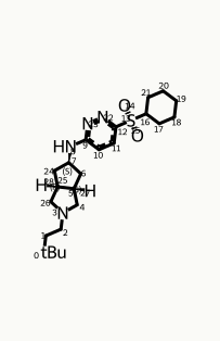 CC(C)(C)CCN1C[C@H]2C[C@H](Nc3ccc(S(=O)(=O)C4CCCCC4)nn3)C[C@H]2C1